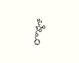 C[C@@H]1S[C@H](COCc2ccccc2)OC1=O